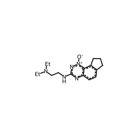 CCN(CC)CCNc1nc2ccc3c(c2[n+]([O-])n1)CCC3